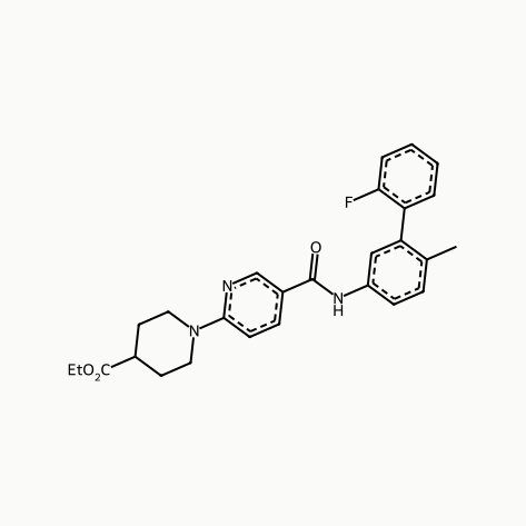 CCOC(=O)C1CCN(c2ccc(C(=O)Nc3ccc(C)c(-c4ccccc4F)c3)cn2)CC1